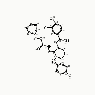 O=C(NCC1c2[nH]c3ccc(Cl)cc3c2CCN1CC(O)c1ccc(Cl)c(Cl)c1)OCc1ccccc1